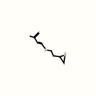 C=C(C)C=COCCC1CO1